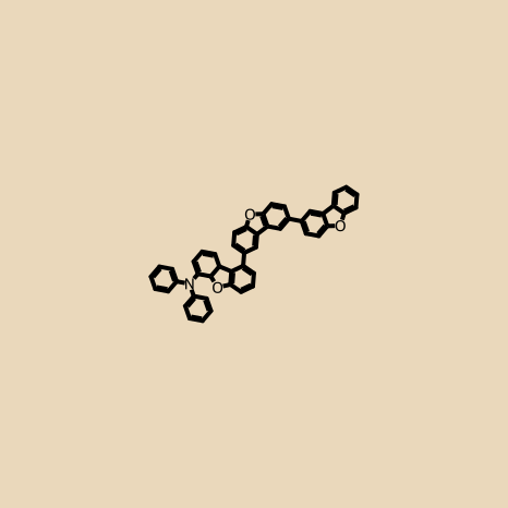 C1=CC2c3c(cccc3-c3ccc4oc5ccc(-c6ccc7oc8ccccc8c7c6)cc5c4c3)OC2C(N(c2ccccc2)c2ccccc2)=C1